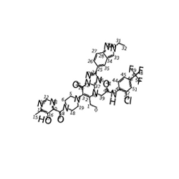 CCc1c(N2CCN(C(=O)c3ncnc(C)c3O)CC2)c(=O)n2nc(-c3ccc4nn(CC)cc4c3)nc2n1CC(=O)Nc1ccc(C(F)(F)F)cc1Cl